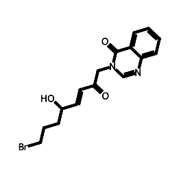 O=C(C=CC(O)CCCBr)Cn1cnc2ccccc2c1=O